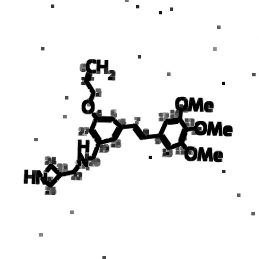 C=CCOc1cc(/C=C/c2cc(OC)c(OC)c(OC)c2)cc(CNCC2CNC2)c1